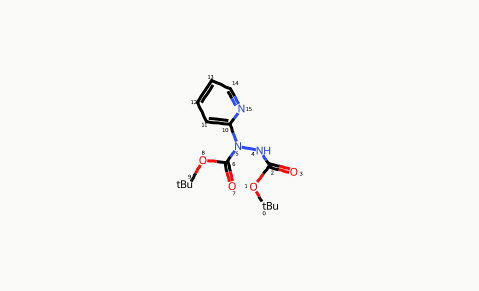 CC(C)(C)OC(=O)NN(C(=O)OC(C)(C)C)c1ccccn1